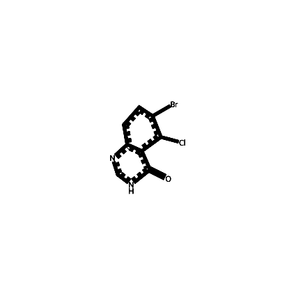 O=c1[nH]cnc2ccc(Br)c(Cl)c12